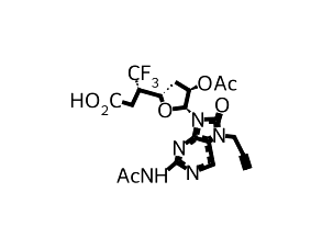 C#CCn1c(=O)n([C@@H]2O[C@H]([C@H](CC(=O)O)C(F)(F)F)C[C@H]2OC(C)=O)c2nc(NC(C)=O)ncc21